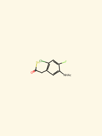 CC(=O)Nc1cc(CC(=O)S)c(Cl)cc1F